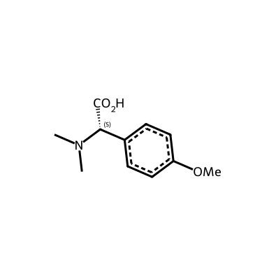 COc1ccc([C@@H](C(=O)O)N(C)C)cc1